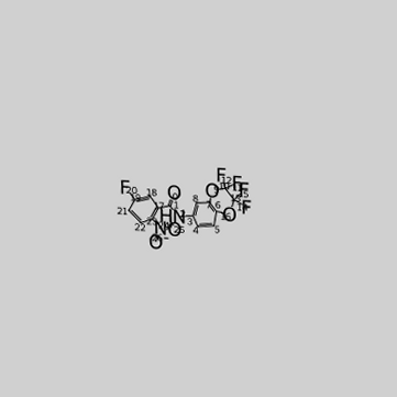 O=C(Nc1ccc2c(c1)OC(F)(F)C(F)(F)O2)c1cc(F)ccc1[N+](=O)[O-]